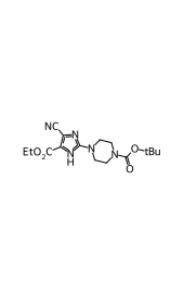 CCOC(=O)c1[nH]c(N2CCN(C(=O)OC(C)(C)C)CC2)nc1C#N